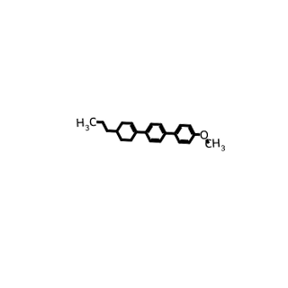 CCCC1CC=C(c2ccc(-c3ccc(OC)cc3)cc2)CC1